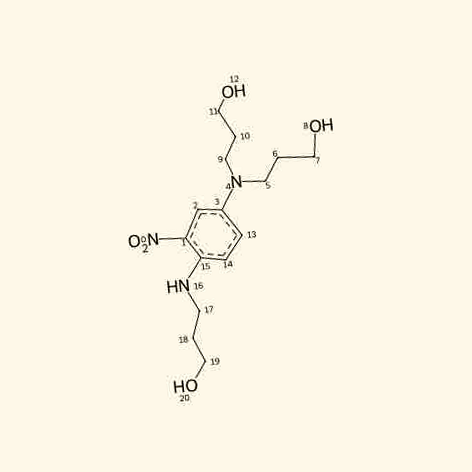 O=[N+]([O-])c1cc(N(CCCO)CCCO)ccc1NCCCO